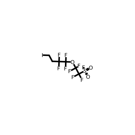 O=S(=O)(F)C(F)(F)C(F)(F)OC(F)(F)C(F)(F)CCI